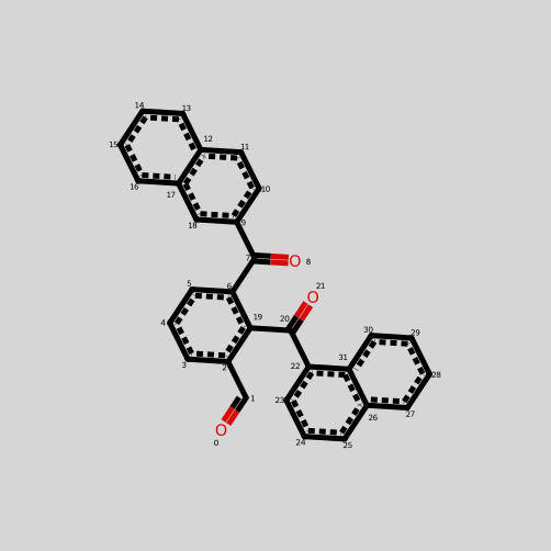 O=[C]c1cccc(C(=O)c2ccc3ccccc3c2)c1C(=O)c1cccc2ccccc12